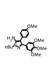 CCCCn1nc(-c2cc(OC)c(OC)c(OC)c2)c(-c2ccc(OC)cc2)c1N